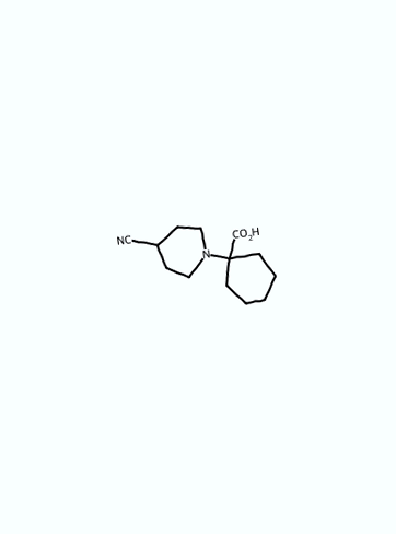 N#CC1CCN(C2(C(=O)O)CCCCC2)CC1